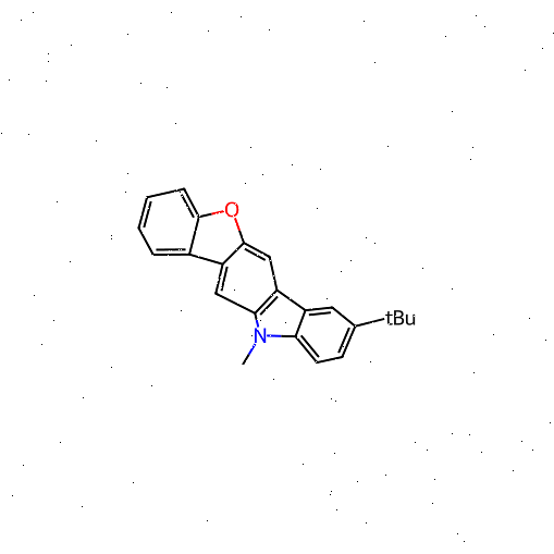 Cn1c2ccc(C(C)(C)C)cc2c2cc3oc4ccccc4c3cc21